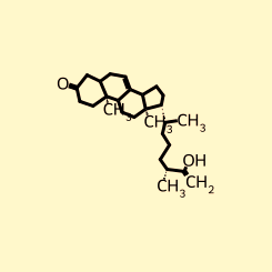 C=C(O)[C@H](C)CCCC(C)[C@H]1CCC2C3=CCC4CC(=O)CC[C@]4(C)C3CC[C@@]21C